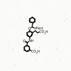 CCCCCC(Oc1ccc(NC(=O)c2cccc(C(=O)O)c2)cc1CCC(=O)O)c1ccccc1